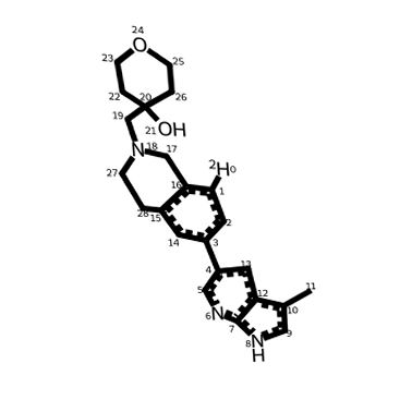 [2H]c1cc(-c2cnc3[nH]cc(C)c3c2)cc2c1CN(CC1(O)CCOCC1)CC2